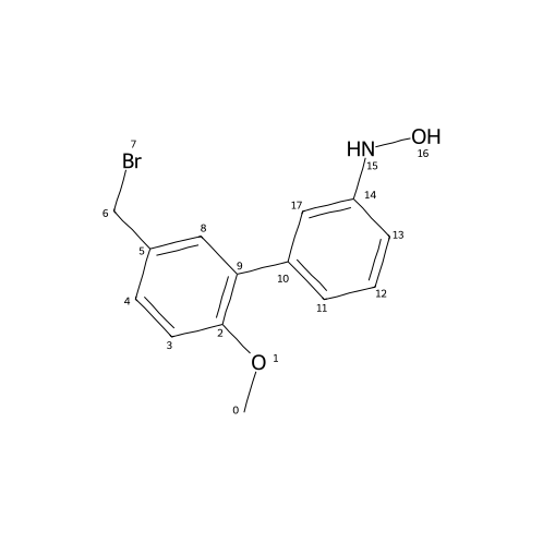 COc1ccc(CBr)cc1-c1cccc(NO)c1